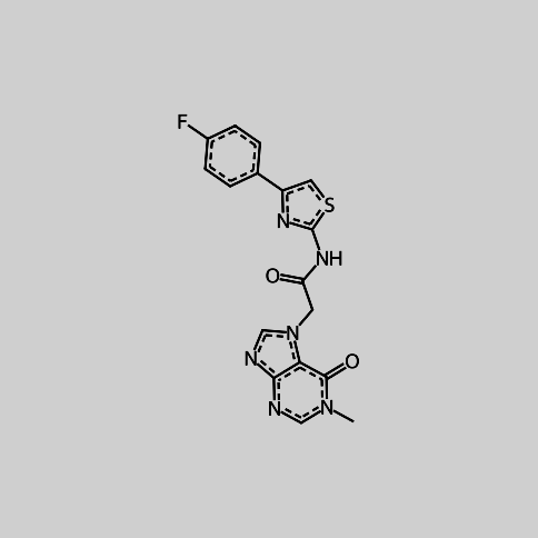 Cn1cnc2ncn(CC(=O)Nc3nc(-c4ccc(F)cc4)cs3)c2c1=O